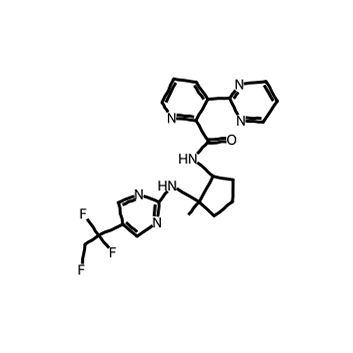 CC1(Nc2ncc(C(F)(F)CF)cn2)CCCC1NC(=O)c1ncccc1-c1ncccn1